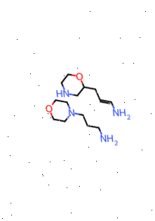 NC=CCC1CNCCO1.NCCCN1CCOCC1